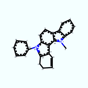 Cn1c2ccccc2c2ccc3c(c4c(n3-c3ccccc3)CCC=C4)c21